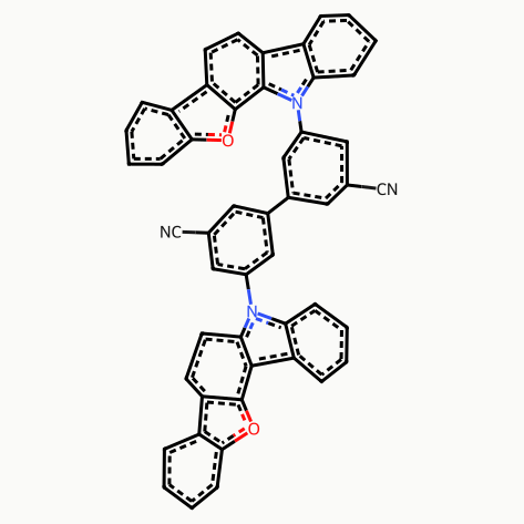 N#Cc1cc(-c2cc(C#N)cc(-n3c4ccccc4c4ccc5c6ccccc6oc5c43)c2)cc(-n2c3ccccc3c3c4oc5ccccc5c4ccc32)c1